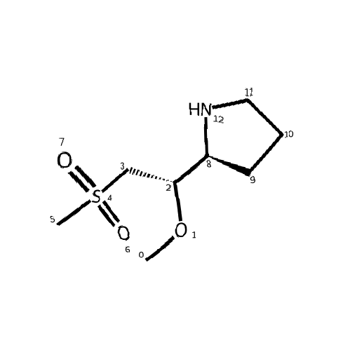 CO[C@H](CS(C)(=O)=O)[C@@H]1CCCN1